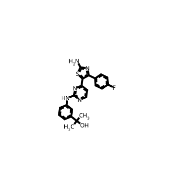 CC(C)(O)c1cccc(Nc2nccc(-c3sc(N)nc3-c3ccc(F)cc3)n2)c1